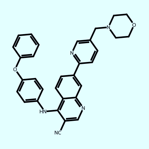 N#Cc1cnc2cc(-c3ccc(CN4CCOCC4)cn3)ccc2c1Nc1ccc(Oc2ccccc2)cc1